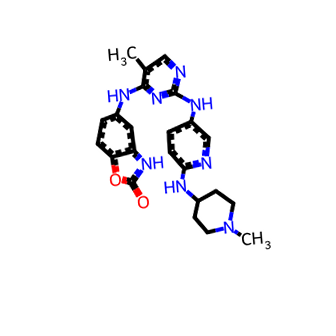 Cc1cnc(Nc2ccc(NC3CCN(C)CC3)nc2)nc1Nc1ccc2oc(=O)[nH]c2c1